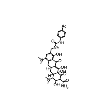 CC(=O)c1ccc(NC(=O)NCc2cc(N(C)C)c3c(c2O)C(=O)C2=C(O)[C@]4(O)C(=O)C(C(N)=O)C(O)[C@@H](N(C)C)[C@@H]4C[C@@H]2C3)cc1